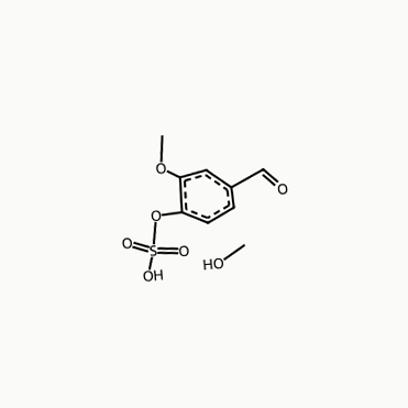 CO.COc1cc(C=O)ccc1OS(=O)(=O)O